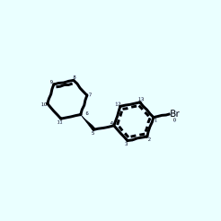 Brc1ccc(C[C@@H]2CC=CCC2)cc1